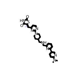 CN(C)c1ccc(-c2cccc(CNCC3CCN(c4nccc(/C=C5\SC(=O)NC5=O)n4)CC3)n2)cn1